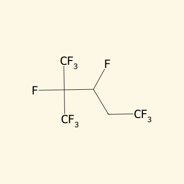 FC(CC(F)(F)F)C(F)(C(F)(F)F)C(F)(F)F